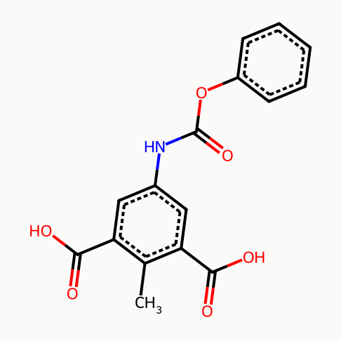 Cc1c(C(=O)O)cc(NC(=O)Oc2ccccc2)cc1C(=O)O